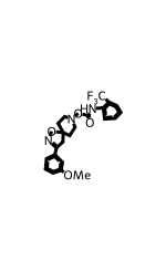 COc1cccc(C2=NOC3(CCN(OC(=O)Nc4ccccc4C(F)(F)F)CC3)C2)c1